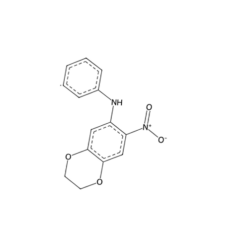 O=[N+]([O-])c1cc2c(cc1Nc1c[c]ccc1)OCCO2